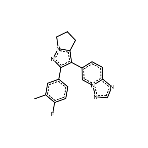 Cc1cc(-c2nn3c(c2-c2ccc4ncnn4c2)CCC3)ccc1F